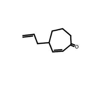 C=CCC1C=CC(=O)CCC1